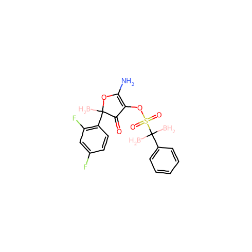 BC1(c2ccc(F)cc2F)OC(N)=C(OS(=O)(=O)C(B)(B)c2ccccc2)C1=O